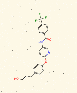 O=C(Nc1ccc(Oc2ccc(CCCO)cc2)nc1)c1ccc(C(F)(F)F)cc1